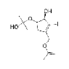 C=C(C)OCC1=C(I)[C@H](O)C(OC(C)(C)O)C1